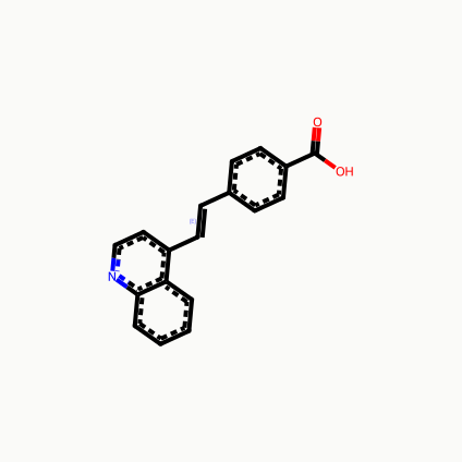 O=C(O)c1ccc(/C=C/c2ccnc3ccccc23)cc1